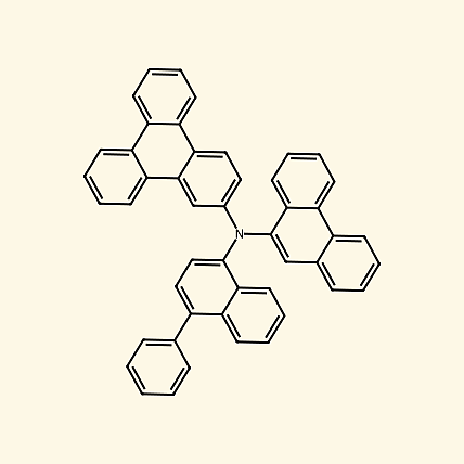 c1ccc(-c2ccc(N(c3ccc4c5ccccc5c5ccccc5c4c3)c3cc4ccccc4c4ccccc34)c3ccccc23)cc1